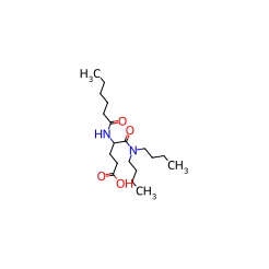 CCCCCC(=O)NC(CCC(=O)O)C(=O)N(CCCC)CCCC